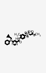 COC(=O)CN(C)S(=O)(=O)c1ccc(NC(=O)c2cc(N(CC3CC3)C3CCCCC3)ncn2)c(C)c1